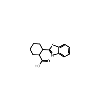 O=C(O)C1CCCCC1c1nc2ccccc2s1